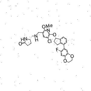 COc1nc(O[C@H]2CCc3c(-c4cc5c(cc4F)OCCO5)cccc32)c(Cl)cc1CNC[C@@H]1CCC(=O)N1